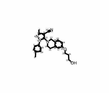 Cc1ccc(-n2nc(C)c(C#N)c2N2CCc3cc(OCCCO)ccc3C2)cc1